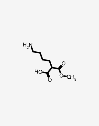 COC(=O)C(CCCCN)C(=O)O